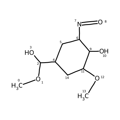 COC(O)C1CC(N=O)C(O)C(OC)C1